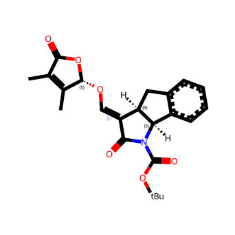 CC1=C(C)[C@@H](O/C=C2/C(=O)N(C(=O)OC(C)(C)C)[C@@H]3c4ccccc4C[C@H]23)OC1=O